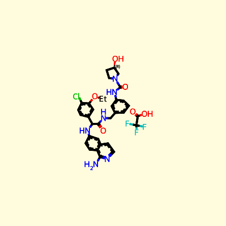 CCOc1cc(C(Nc2ccc3c(N)nccc3c2)C(=O)NCc2cccc(NC(=O)N3CC[C@@H](O)C3)c2)ccc1Cl.O=C(O)C(F)(F)F